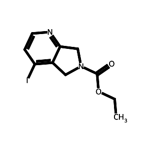 CCOC(=O)N1Cc2nccc(I)c2C1